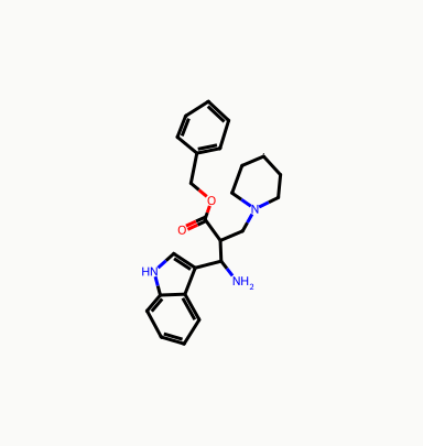 NC(c1c[nH]c2ccccc12)C(CN1CC[CH]CC1)C(=O)OCc1ccccc1